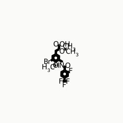 COc1c(Br)cc(CC(OC(C)C)C(=O)O)cc1CNC(=O)c1ccc(C(F)(F)F)cc1F